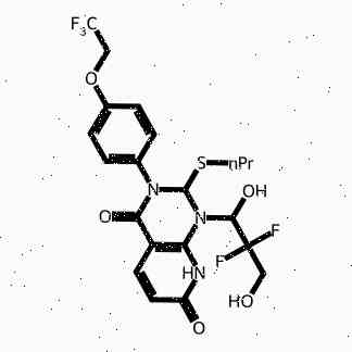 CCCSC1N(c2ccc(OCC(F)(F)F)cc2)C(=O)c2ccc(=O)[nH]c2N1C(O)C(F)(F)CO